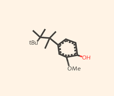 COc1cc(C(C)(C)C(C)(C)C(C)(C)C)ccc1O